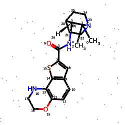 CC1(C)[C@H](NC(=O)c2cc3ccc4c(c3s2)NCCO4)C2CCN1CC2